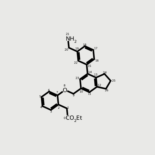 CCOC(=O)Cc1ccccc1OCc1cc2c(c(-c3cccc(CN)c3)c1)CCC2